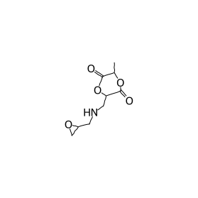 CC1OC(=O)C(CNCC2CO2)OC1=O